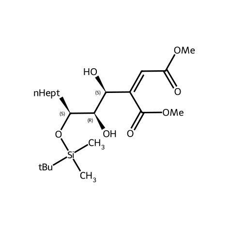 CCCCCCC[C@H](O[Si](C)(C)C(C)(C)C)[C@H](O)[C@@H](O)C(=CC(=O)OC)C(=O)OC